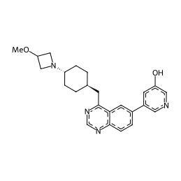 COC1CN([C@H]2CC[C@H](Cc3ncnc4ccc(-c5cncc(O)c5)cc34)CC2)C1